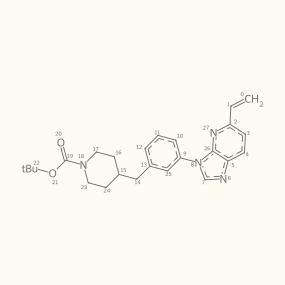 C=Cc1ccc2ncn(-c3cccc(CC4CCN(C(=O)OC(C)(C)C)CC4)c3)c2n1